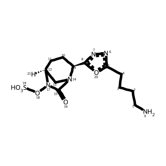 NCCCCc1nnc([C@@H]2CC[C@H]3CN2C(=O)N3OS(=O)(=O)O)o1